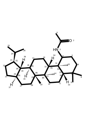 CC(=O)NC1CCC(C)(C)[C@@H]2CC[C@]3(C)[C@H](CC[C@@H]4[C@@H]5[C@H](CC[C@H]5C(C)C)CC[C@]43C)[C@@]12C